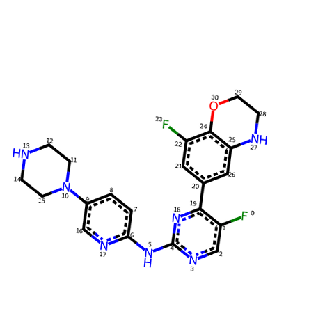 Fc1cnc(Nc2ccc(N3CCNCC3)cn2)nc1-c1cc(F)c2c(c1)NCCO2